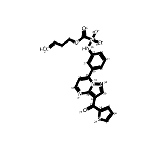 C=CCCOC(=O)[N+]([O-])(CC)Nc1cccc(-c2ccnc3c(C(=O)c4cccs4)cnn23)c1